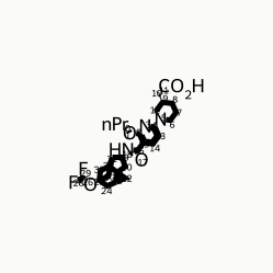 CCCOc1nc(N2CCC[C@@H](CC(=O)O)C2)ccc1C(=O)N[C@H]1CC23CC2C[C@@]2(OC(F)F)CC1C3C2